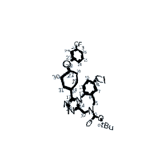 CC(C)(C)OC(=O)N1Cc2cc(Cl)ccc2-n2c(nnc2C2CCC(Oc3cccc(C(F)(F)F)c3)CC2)C1